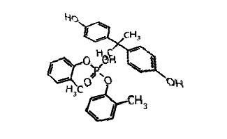 CC(C)(c1ccc(O)cc1)c1ccc(O)cc1.Cc1ccccc1OP(=O)(O)Oc1ccccc1C